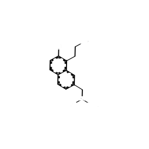 CC(=O)OCCc1c(Cl)ccc2ccc(CN(C)C)cc12